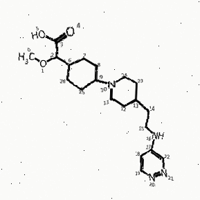 COC(C(=O)O)C1CCC(N2CCC(CCNc3ccnnc3)CC2)CC1